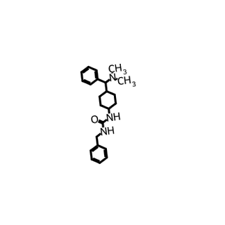 CN(C)C(c1ccccc1)C1CCC(NC(=O)NCc2ccccc2)CC1